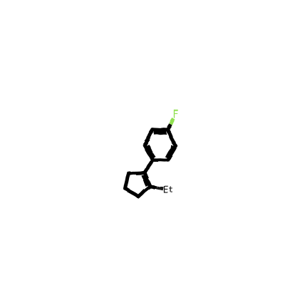 CCC1=C(c2ccc(F)cc2)CCC1